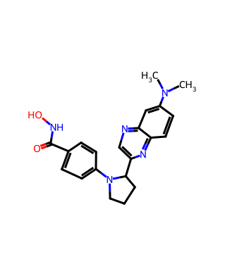 CN(C)c1ccc2nc(C3CCCN3c3ccc(C(=O)NO)cc3)cnc2c1